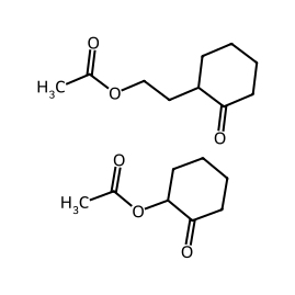 CC(=O)OC1CCCCC1=O.CC(=O)OCCC1CCCCC1=O